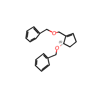 C1=C(COCc2ccccc2)[C@@H](OCc2ccccc2)CC1